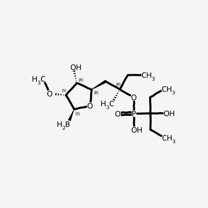 B[C@@H]1O[C@H](C[C@@](C)(CC)OP(=O)(O)C(O)(CC)CC)[C@@H](O)[C@H]1OC